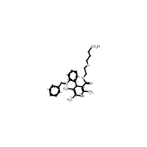 CCOC(=O)CCCSCCOC(=O)C1=C(C)NC(C)=C([N+](=O)[O-])C1c1ccccc1OCc1ccccc1